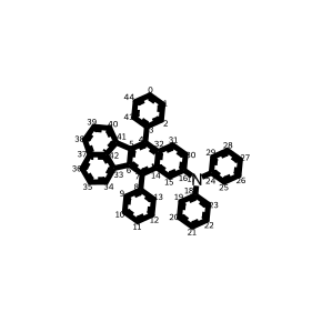 c1ccc(-c2c3c(c(-c4ccccc4)c4cc(N(c5ccccc5)c5ccccc5)ccc24)-c2cccc4cccc-3c24)cc1